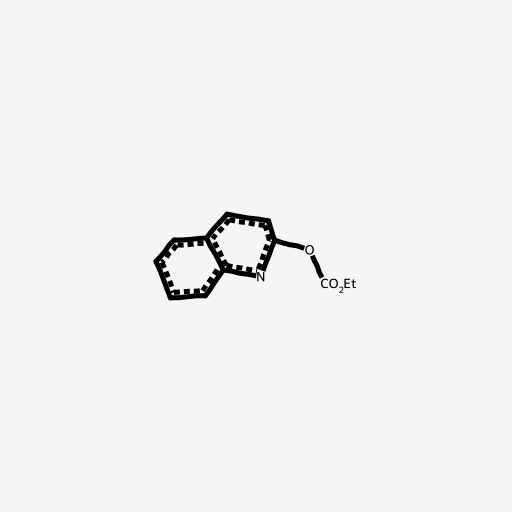 CCOC(=O)Oc1ccc2ccccc2n1